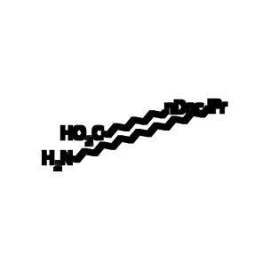 CC(C)CCCCCCCCCCCCCCCN.CCCCCCCCCCCCCCCCCC(=O)O